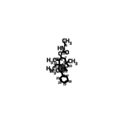 CCNC(=O)OC1CC(C)(CC)N(OC(C)c2ccccc2)C(C)(CC)C1C